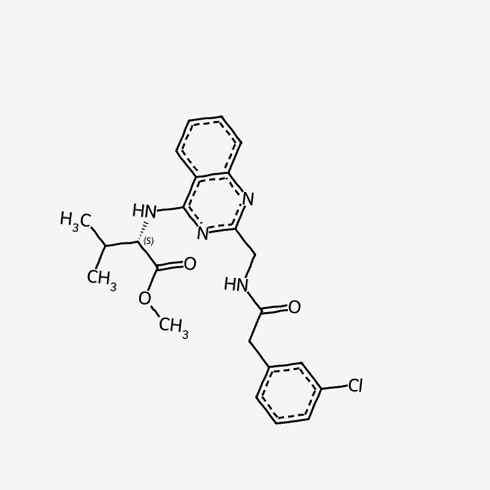 COC(=O)[C@@H](Nc1nc(CNC(=O)Cc2cccc(Cl)c2)nc2ccccc12)C(C)C